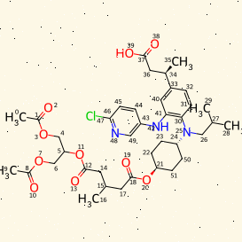 CC(=O)OCC(COC(C)=O)OC(=O)CC(C)CC(=O)O[C@H]1CC[C@H](N(CC(C)C)c2ccc([C@H](C)CC(=O)O)cc2Nc2ccc(Cl)nc2)CC1